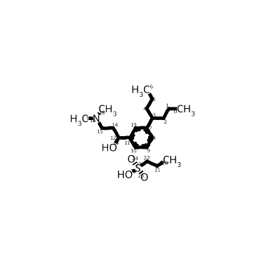 CCCC(CCC)c1cccc(C(O)CCN(C)C)c1.CCCS(=O)(=O)O